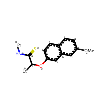 CCC(Oc1ccc2ccc(OC)cc2c1)C(=S)NC(C)C